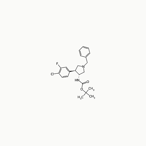 CC(C)(C)OC(=O)N[C@H]1CN(Cc2ccccc2)C[C@@H]1c1ccc(Cl)c(F)c1